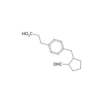 O=CC1CCCC1Cc1ccc(CCC(=O)O)cc1